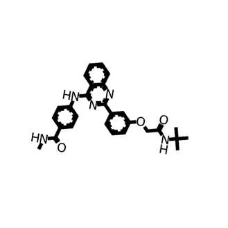 CNC(=O)c1ccc(Nc2nc(-c3cccc(OCC(=O)NC(C)(C)C)c3)nc3ccccc23)cc1